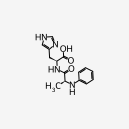 C[C@H](Nc1ccccc1)C(=O)N[C@@H](Cc1c[nH]cn1)C(=O)O